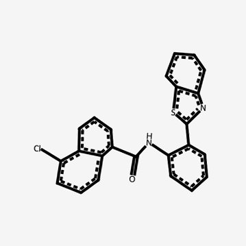 O=C(Nc1ccccc1-c1nc2ccccc2s1)c1cccc2c(Cl)cccc12